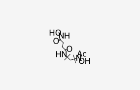 CC(=O)N(O)C(C)(C)CC(C)(C)NC(=O)CCC(=O)NO